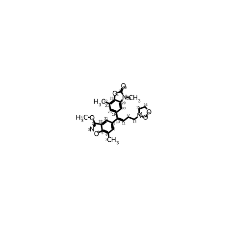 COc1noc2c(C)cc(C(=CCCN3CCOO3)c3cc(C)c4oc(=O)n(C)c4c3)cc12